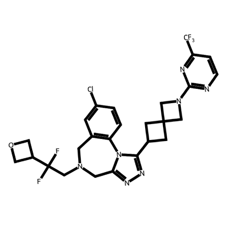 FC(F)(F)c1ccnc(N2CC3(CC(c4nnc5n4-c4ccc(Cl)cc4CN(CC(F)(F)C4COC4)C5)C3)C2)n1